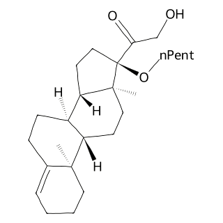 CCCCCO[C@]1(C(=O)CO)CC[C@H]2[C@@H]3CCC4=CCCC[C@]4(C)[C@H]3CC[C@@]21C